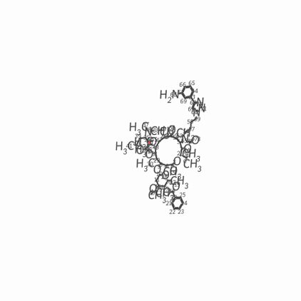 CC[C@H]1OC(=O)[C@H](C)[C@@H](O[C@H]2C[C@@](C)(OC)[C@@H](OC(=O)c3ccccc3)[C@H](C)O2)[C@H](C)[C@@H](O[C@H]2C[C@@H](N(C)C)C[C@@H](C)O2)[C@@](C)(OC)C[C@@H](C)C(=O)[C@H](C)C2N(CCCCn3cc(-c4cccc(N)c4)nn3)C(=O)O[C@@]21C